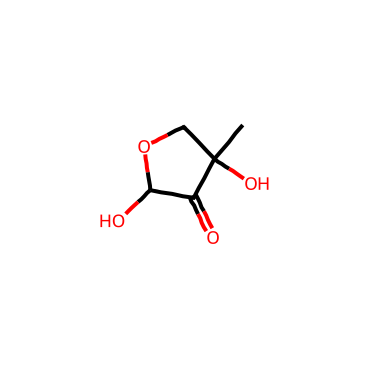 CC1(O)COC(O)C1=O